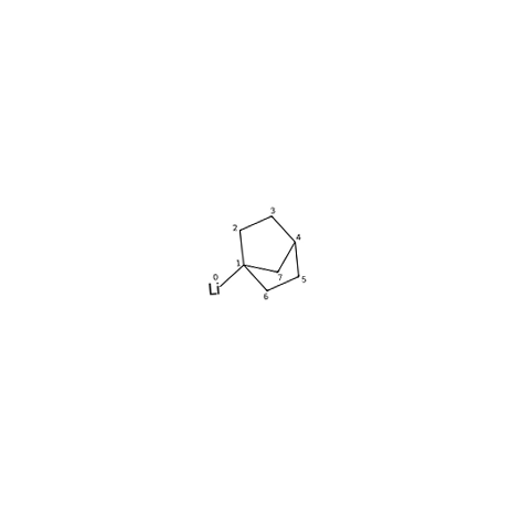 [Li][C]12CCC(CC1)C2